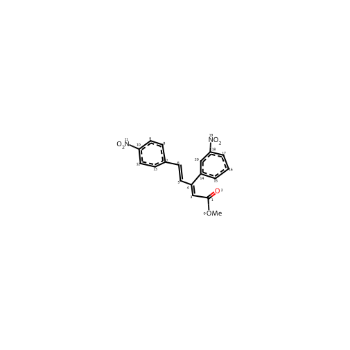 COC(=O)C=C(C=Cc1ccc([N+](=O)[O-])cc1)c1cccc([N+](=O)[O-])c1